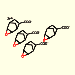 O=C([O-])C1CC2CC1C1OC21.O=C([O-])C1CC2CC1C1OC21.O=C([O-])C1CC2CC1C1OC21.O=C([O-])C1CC2CC1C1OC21.[Zr+4]